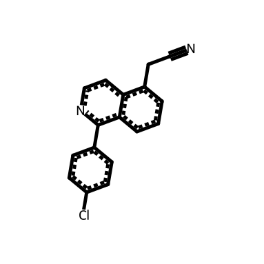 N#CCc1cccc2c(-c3ccc(Cl)cc3)nccc12